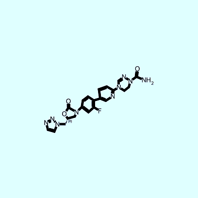 NC(=O)N1CCN(c2ccc(-c3ccc(N4C[C@H](Cn5ccnn5)OC4=O)cc3F)cn2)C=N1